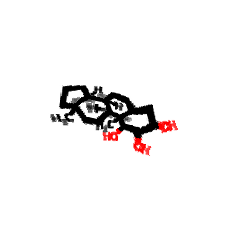 C[C@@]12CCC[C@H]1[C@@H]1C=CC3=CC(O)C(O)=C(O)[C@]3(C)[C@H]1CC2